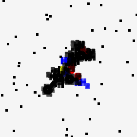 [2H]c1c([2H])c([C@@H]2S[C@H](CC(=O)NC([2H])([2H])C([2H])([2H])c3ccc(OC([2H])([2H])[2H])c(OC([2H])([2H])[2H])c3)C(=O)N2c2cccc(C(N)=O)c2)c([2H])c([2H])c1C#Cc1ccccc1